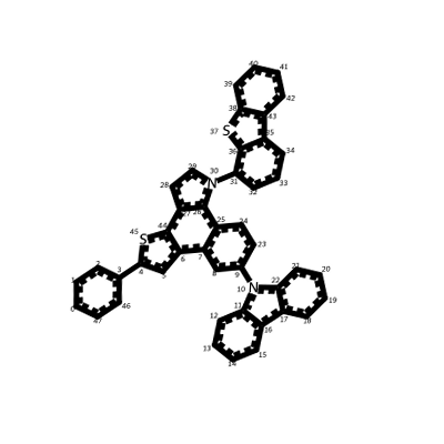 c1ccc(-c2cc3c4cc(-n5c6ccccc6c6ccccc65)ccc4c4c(ccn4-c4cccc5c4sc4ccccc45)c3s2)cc1